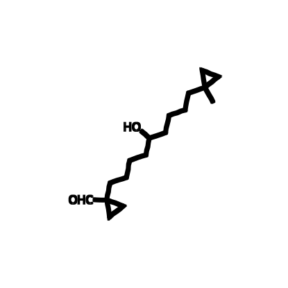 CC1(CCCCC(O)CCCCC2(C=O)CC2)CC1